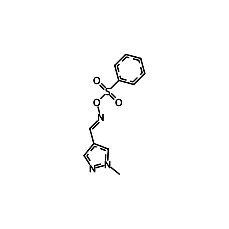 Cn1cc(C=NOS(=O)(=O)c2ccccc2)cn1